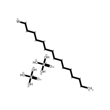 CCCCCCCCCCCCCC[CH2][W].O=P(O)(O)O.O=P(O)(O)O